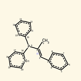 C/C(=C\c1ccccc1)P(c1ccccn1)c1ccccn1